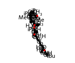 CC[C@H](C)[C@@H]([C@@H](CC(=O)N1CCC[C@H]1[C@H](OC)[C@@H](C)C(=O)N[C@H](C)[C@@H](OC(=O)[C@@H](NC(=O)[C@@H]1CCCN1C(=O)[C@H](CC(=O)O)NC(=O)CCOCCOCCOCCNC(=O)[C@H](CCCCNC(=O)OC(C)(C)C)NC(=O)OC(C)(C)C)C(C)C)c1ccccc1)OC)N(C)C(=O)[C@@H](NC(=O)[C@H](C(C)C)N(C)C(=O)OCc1ccccc1)C(C)C